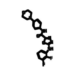 O=C(Nc1ccc(N2CCOCC2)cc1)c1nnc(Nc2cccc(F)c2F)o1